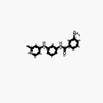 Cc1cc(Nc2cccc(NC(=O)c3cccc(N)c3)c2)ccn1